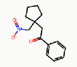 O=C(CC1(C[N+](=O)[O-])CCCC1)c1ccccc1